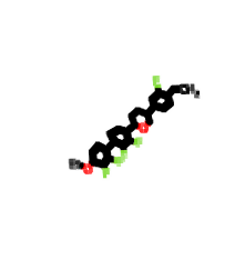 C=Cc1ccc(C2CCC(c3ccc(-c4ccc(OCC)c(F)c4F)c(F)c3F)OC2)cc1F